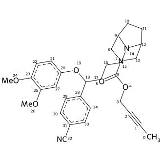 CC#CCOC(=O)N1CC2CCC(C1)N2CCCC(Oc1ccc(OC)c(OC)c1)c1ccc(C#N)cc1